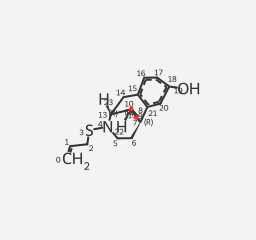 C=CCSN1CC[C@]23CCCC[C@H]2[C@H]1Cc1ccc(O)cc13